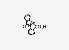 O=C(O)c1ccccc1-n1[se]c2ccccc2c1=O